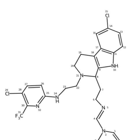 C=CN(C)/C=N/CCC1c2[nH]c3ccc(Cl)cc3c2CCN1CCNc1ccc(Cl)c(C(F)(F)F)n1